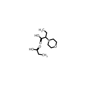 CCC(=O)O.CCC(C(=O)O)N1CCOCC1